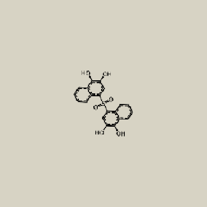 O=S(=O)(c1cc(O)c(O)c2ccccc12)c1cc(O)c(O)c2ccccc12